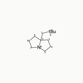 CC(C)(C)CC12CCCN1CCC2